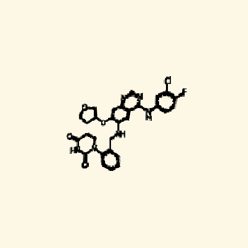 O=C1CCN(c2ccccc2CNc2cc3c(Nc4ccc(F)c(Cl)c4)ncnc3cc2O[C@H]2CCOC2)C(=O)N1